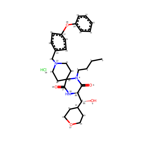 CCCCN1C(=O)[C@@H]([C@H](O)C2CCOCC2)NC(=O)C12CCN(Cc1ccc(Oc3ccccc3)cc1)CC2.Cl